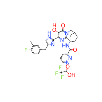 Cc1cc(Cc2c[nH]c(-c3nc4n(c(=O)c3O)CC3CCC4(NC(=O)c4cccnn4)CC3)n2)ccc1F.O=C(O)C(F)(F)F